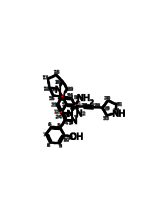 Nc1nnc(-c2ccccc2O)cc1N1CC2CCC(C1)N2c1ccnc(C#CC2CCNC2)c1